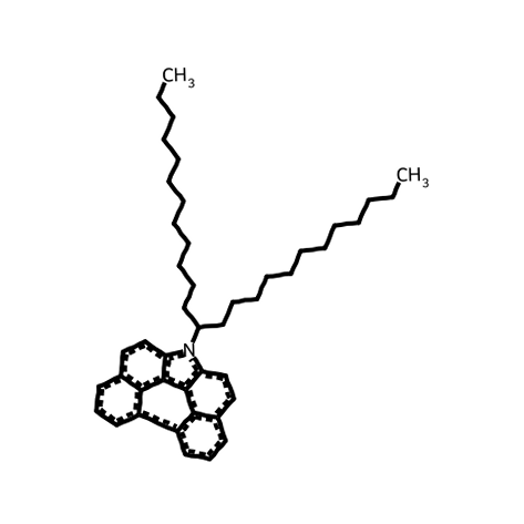 CCCCCCCCCCCCC(CCCCCCCCCCCC)n1c2ccc3cccc4c5cccc6ccc1c(c65)c2c34